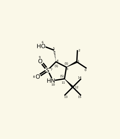 CC(C)[C@@H]1[C@@H](CO)S(=O)(=O)N[C@@H]1C(C)(C)C